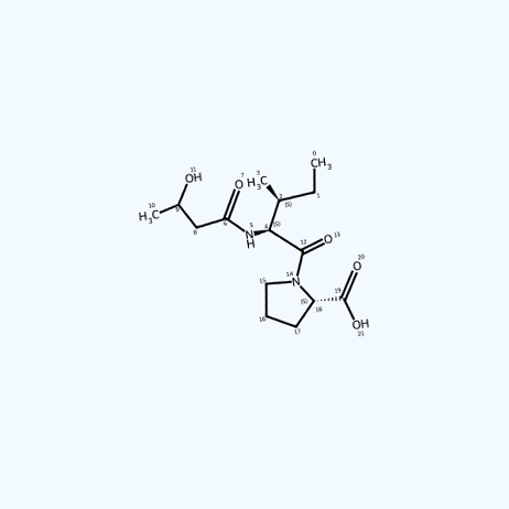 CC[C@H](C)[C@H](NC(=O)CC(C)O)C(=O)N1CCC[C@H]1C(=O)O